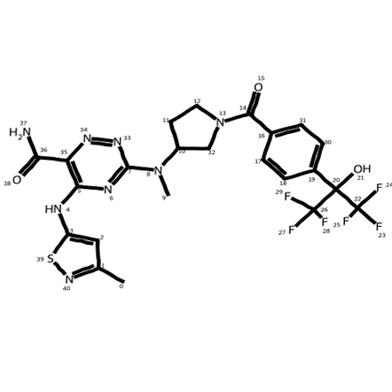 Cc1cc(Nc2nc(N(C)C3CCN(C(=O)c4ccc(C(O)(C(F)(F)F)C(F)(F)F)cc4)C3)nnc2C(N)=O)sn1